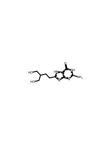 Nc1nc2nc(CCC(CO)CO)[nH]c2c(=O)[nH]1